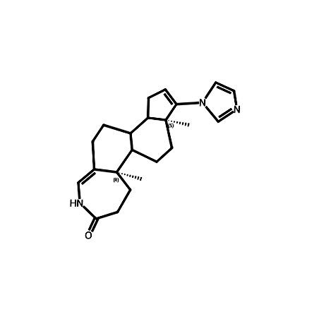 C[C@]12CCC(=O)NC=C1CCC1C2CC[C@]2(C)C(n3ccnc3)=CCC12